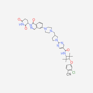 CC1(C)C(NC(=O)c2cnc(N3CCC(CN4CCN(c5ccc6c(=O)n(C7CCC(=O)NC7=O)ncc6c5)CC4)C3)nc2)C(C)(C)C1Oc1ccc(C#N)c(Cl)c1